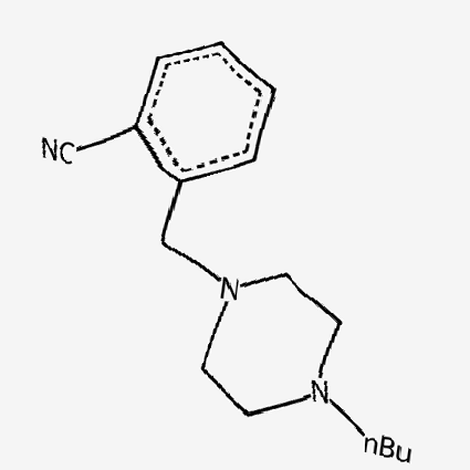 CCCCN1CCN(Cc2ccccc2C#N)CC1